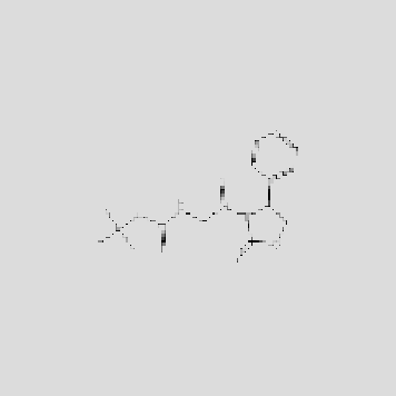 CC(C)(C)OC(=O)NCC(=O)N1C(=O)OCC1c1ccccc1